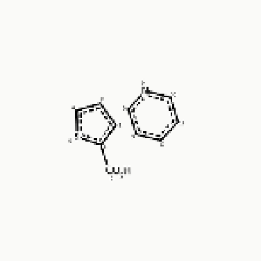 O=C(O)c1cccs1.c1ccncc1